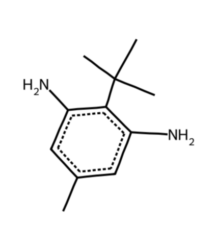 Cc1cc(N)c(C(C)(C)C)c(N)c1